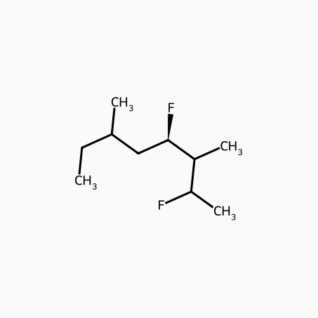 CCC(C)C[C@@H](F)C(C)C(C)F